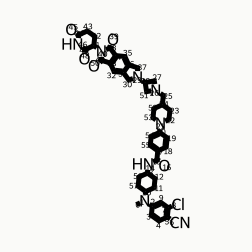 CN(c1ccc(C#N)c(Cl)c1)C1CCC(NC(=O)c2ccc(N3CCC(CN4CC(N5Cc6cc7c(cc6C5)C(=O)N(C5CCC(=O)NC5=O)C7=O)C4)CC3)cc2)CC1